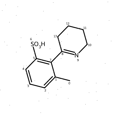 Cc1cccc(S(=O)(=O)O)c1C1=NCCCC1